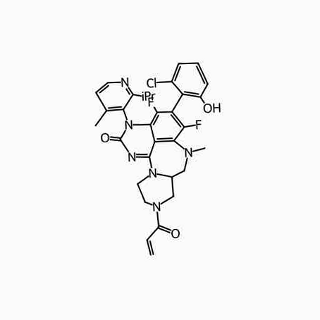 C=CC(=O)N1CCN2c3nc(=O)n(-c4c(C)ccnc4C(C)C)c4c(F)c(-c5c(O)cccc5Cl)c(F)c(c34)N(C)CC2C1